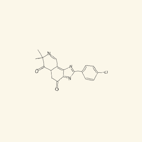 CC1(C)N=CC2=C3N=C(c4ccc(Cl)cc4)N=C3C(=O)CC2C1=O